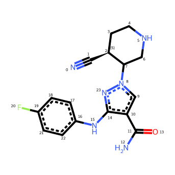 N#C[C@H]1CCNCC1n1cc(C(N)=O)c(Nc2ccc(F)cc2)n1